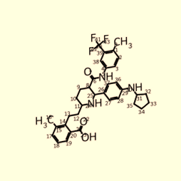 Cc1ccc(NC(=O)C2CCC(CCc3c(C)cccc3C(=O)O)NC2c2ccc(NC3CCCC3)cc2)cc1C(F)(F)F